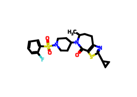 CC1CCc2nc(C3CC3)sc2C(=O)N1C1CCN(S(=O)(=O)c2ccccc2F)CC1